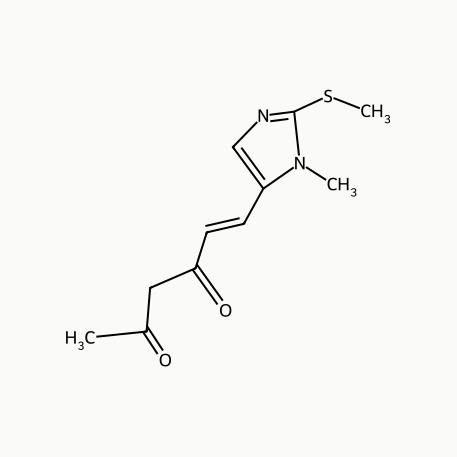 CSc1ncc(C=CC(=O)CC(C)=O)n1C